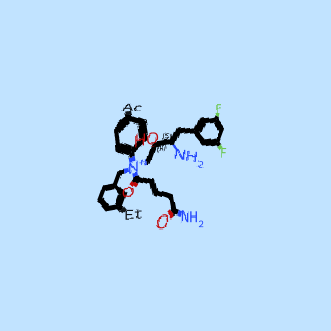 CCc1cccc(C[N+](C[C@@H](O)[C@@H](N)Cc2cc(F)cc(F)c2)(C(=O)CCCC(N)=O)c2ccc(C(C)=O)cc2)c1